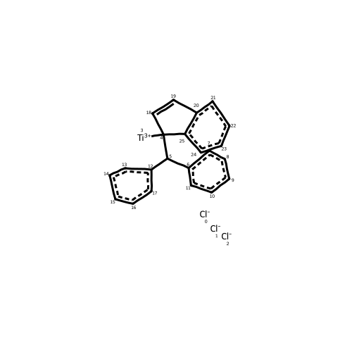 [Cl-].[Cl-].[Cl-].[Ti+3][C]1(C(c2ccccc2)c2ccccc2)C=Cc2ccccc21